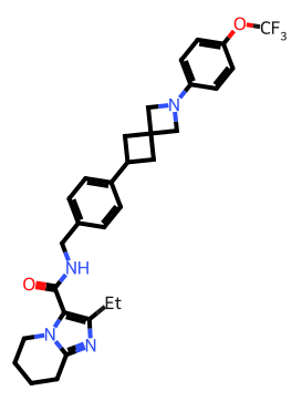 CCc1nc2n(c1C(=O)NCc1ccc(C3CC4(C3)CN(c3ccc(OC(F)(F)F)cc3)C4)cc1)CCCC2